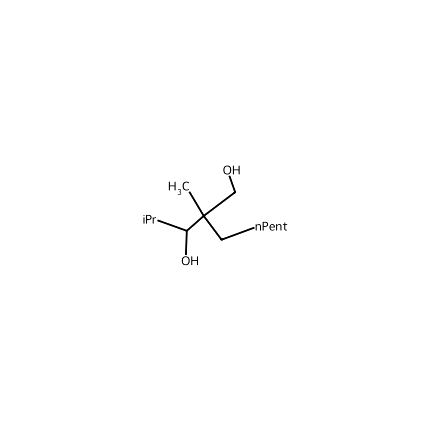 CCCCCCC(C)(CO)C(O)C(C)C